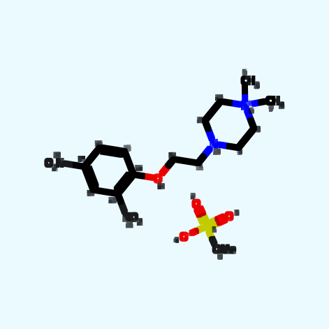 COS(=O)(=O)[O-].C[N+]1(C)CCN(CCOc2ccc([N+](=O)[O-])cc2[N+](=O)[O-])CC1